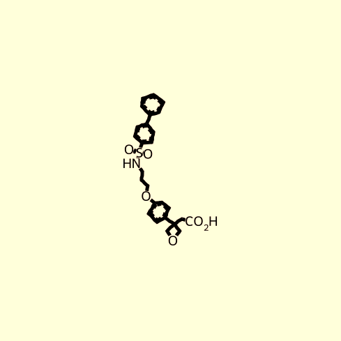 O=C(O)CC1(c2ccc(OCCCNS(=O)(=O)c3ccc(-c4ccccc4)cc3)cc2)COC1